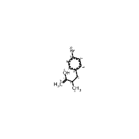 C=C(O)C(C)Cc1ccc(Br)cc1